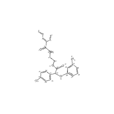 C=C/C=C(\C=C)C(=O)NCCOC(=O)C(Oc1cccc(C(F)(F)F)c1)c1ccc(Cl)cc1